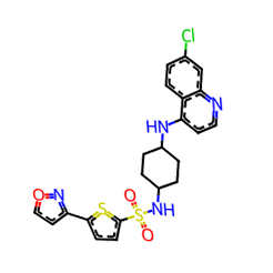 O=S(=O)(NC1CCC(Nc2ccnc3cc(Cl)ccc23)CC1)c1ccc(-c2ccon2)s1